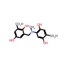 CN(Cc1cc(O)cc(C(=O)O)c1O)c1cc(O)c(S(=O)(=O)O)cc1O